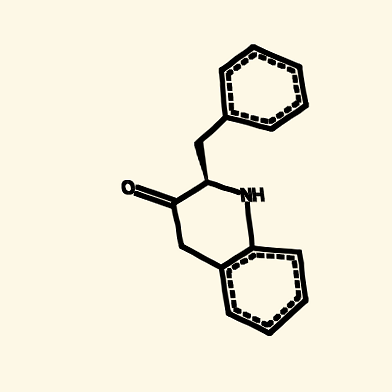 O=C1Cc2ccccc2N[C@@H]1Cc1ccccc1